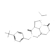 CC(C)[C@H]1CC2C(=O)N(Cc3ccc(C(F)(F)F)cc3)C[C@H]3CCC(=O)N1C23